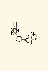 c1cc(-c2nn[nH]n2)cc([C@@H]2COc3cccnc3O2)c1